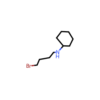 BrCCCCNC1CCCCC1